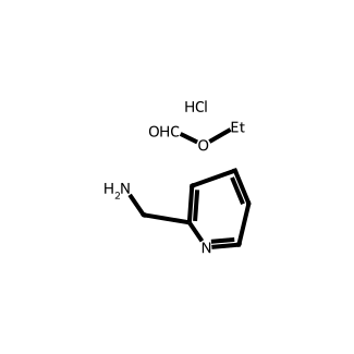 CCOC=O.Cl.NCc1ccccn1